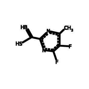 B=C(S)c1nc(C)c(F)c(F)n1